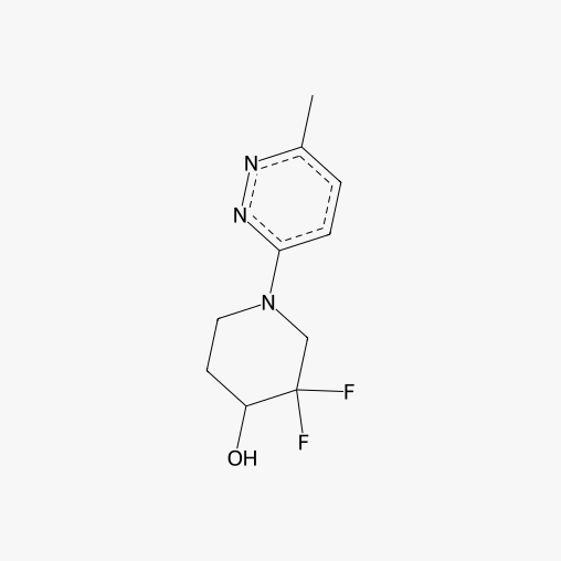 Cc1ccc(N2CCC(O)C(F)(F)C2)nn1